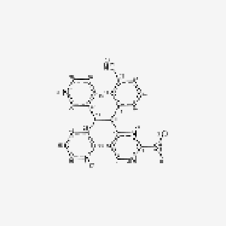 C[S+]([O-])c1nccc(C(c2cccc(C#N)c2)C(c2cccnc2)c2cccnc2)n1